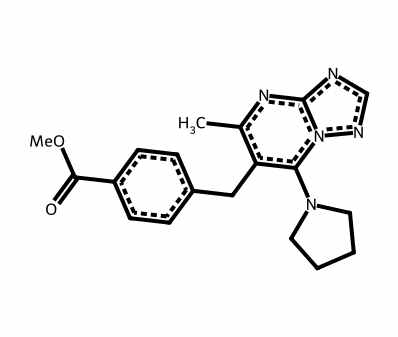 COC(=O)c1ccc(Cc2c(C)nc3ncnn3c2N2CCCC2)cc1